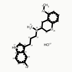 COc1cccc2c1CC(N(C)CCCc1c[nH]c3ccc(F)cc13)CO2.Cl